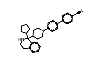 N#Cc1ccc(-c2ccc(N3CCC(C4(C5CCCC5)NCCc5ccccc54)CC3)cc2)cc1